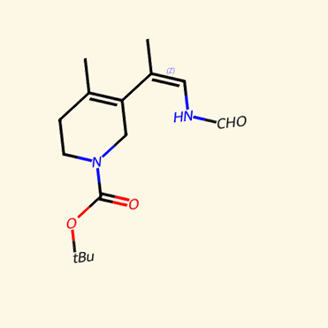 CC1=C(/C(C)=C\NC=O)CN(C(=O)OC(C)(C)C)CC1